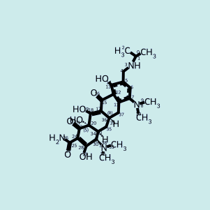 CC(C)NCc1cc(N(C)C)c2c(c1O)C(=O)C1=C(O)[C@]3(O)C(=O)C(C(N)=O)=C(O)[C@H](N(C)C)[C@@H]3C[C@@H]1C2